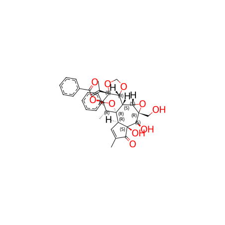 C=C(C)[C@@]12OCO[C@@H]1[C@@H]1[C@@H]3O[C@]3(CO)[C@@H](O)[C@]3(O)C(=O)C(C)=C[C@H]3[C@@]1(Oc1ccccc1)[C@H](C)[C@H]2OC(=O)c1ccccc1